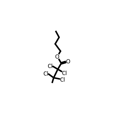 CCCCOC(=O)C(Cl)(Cl)C(C)(Cl)Cl